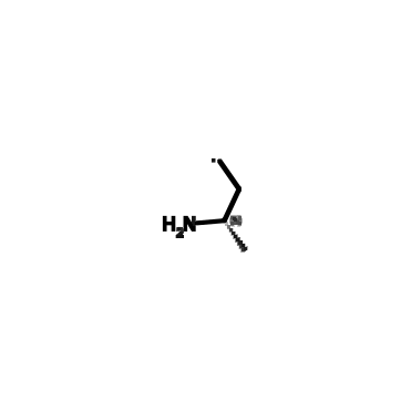 [CH2]C[C@H](C)N